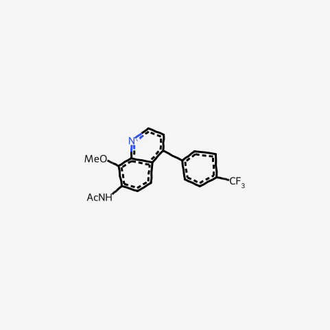 COc1c(NC(C)=O)ccc2c(-c3ccc(C(F)(F)F)cc3)ccnc12